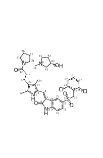 Cc1[nH]c(/C=C2\C(=O)Nc3ccc(S(=O)(=O)Cc4c(Cl)cccc4Cl)cc32)c(C)c1CCC(=O)N1CCC[C@@H]1CN1CC[C@@H](O)C1